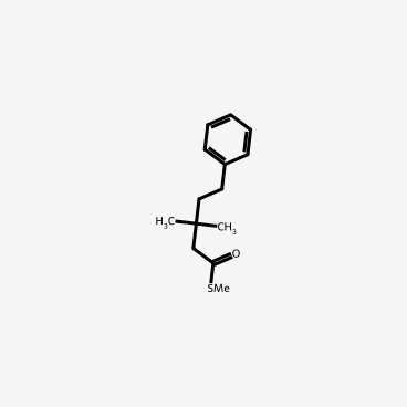 CSC(=O)CC(C)(C)CCc1ccccc1